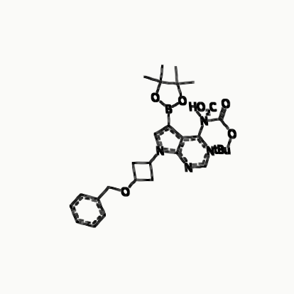 CC(C)(C)OC(=O)N(C(=O)O)c1ncnc2c1c(B1OC(C)(C)C(C)(C)O1)cn2C1CC(OCc2ccccc2)C1